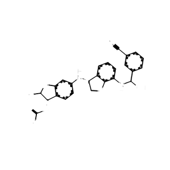 CC(=O)O[C@H]1c2ccc(N[C@@H]3COc4c(NC(C)c5cccc(C#N)c5)cccc43)cc2OC1C